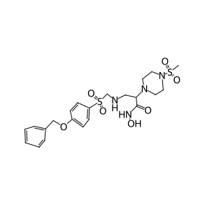 CS(=O)(=O)N1CCN(C(CNCS(=O)(=O)c2ccc(OCc3ccccc3)cc2)C(=O)NO)CC1